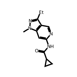 CCc1nn(C)c2cc(NC(=O)C3CC3)ncc12